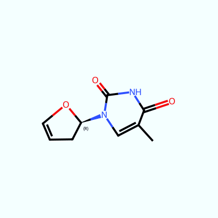 Cc1cn([C@H]2CC=CO2)c(=O)[nH]c1=O